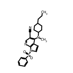 CCCC1CCC(N(C)c2c(C#N)cnc3c2ccn3S(=O)(=O)c2ccccc2)CC1